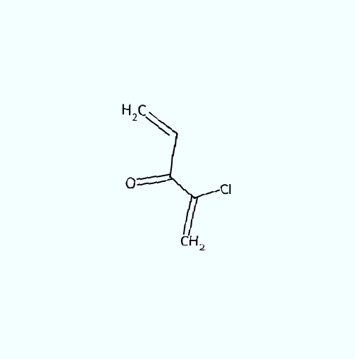 C=CC(=O)C(=C)Cl